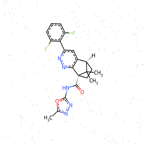 Cc1nnc(NC(=O)[C@]23CC[C@H](c4cc(-c5c(F)cccc5F)nnc42)C3(C)C)o1